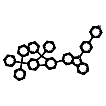 c1ccc(C(c2ccccc2)(c2ccccc2)c2ccc3c(c2)C(c2ccccc2)(c2ccccc2)c2cc(-c4ccc5c(c4)c4ccccc4n5-c4ccc(-c5ccncc5)cc4)ccc2-3)cc1